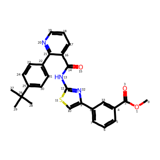 COC(=O)c1cccc(-c2csc(NC(=O)c3cccnc3-c3ccc(C(C)(C)C)cc3)n2)c1